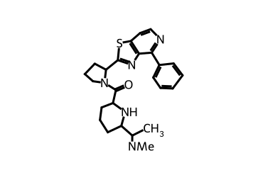 CNC(C)C1CCCC(C(=O)N2CCCC2c2nc3c(-c4ccccc4)nccc3s2)N1